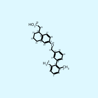 Cc1cccc(C)c1-c1cccc(COc2ccc3c(c2)CCCC3CC(=O)O)c1